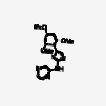 COc1cc(OC)c(-c2csc(Nc3cnccn3)n2)c(OC)c1